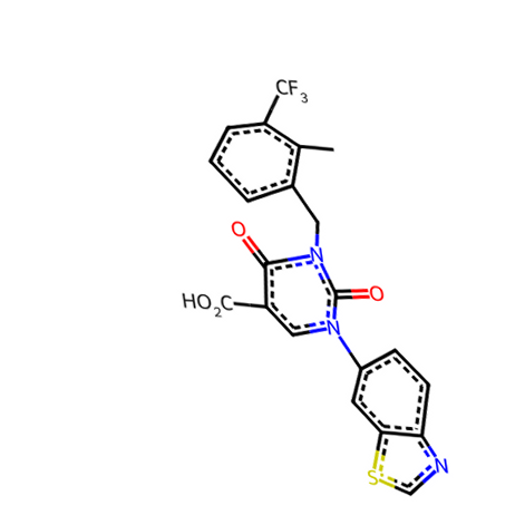 Cc1c(Cn2c(=O)c(C(=O)O)cn(-c3ccc4ncsc4c3)c2=O)cccc1C(F)(F)F